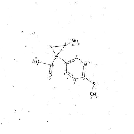 CSc1ncc(C2(C(=O)O)CC2N)cn1